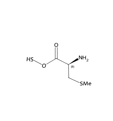 CSC[C@H](N)C(=O)OS